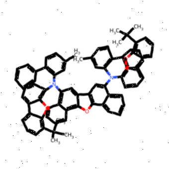 Cc1ccc(-c2ccccc2)c(N(c2cc3c4cc(N(c5cc(C)ccc5-c5ccccc5)c5cccc6c5oc5c(C(C)(C)C)cccc56)c5ccccc5c4oc3c3ccccc23)c2cccc3c2oc2c(C(C)(C)C)cccc23)c1